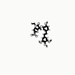 CCOC(=O)C(C)(Oc1cc(C=Cc2cc(OC)c(OC)c(OC)c2)ccc1OC)c1ccc([N+](=O)[O-])s1